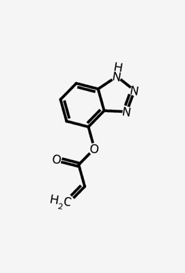 C=CC(=O)Oc1cccc2[nH]nnc12